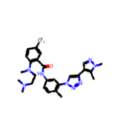 Cc1ccc(NC(=O)c2cc(C(F)(F)F)ccc2N(C)CCN(C)C)cc1-n1cc(-c2cnn(C)c2C)nn1